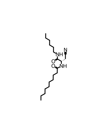 CCCCCCCCCC(=O)N[C@@H](CC#N)C(=O)NCCCCCC